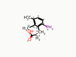 CC(=O)O.Cc1ccc(P)c(C)c1C